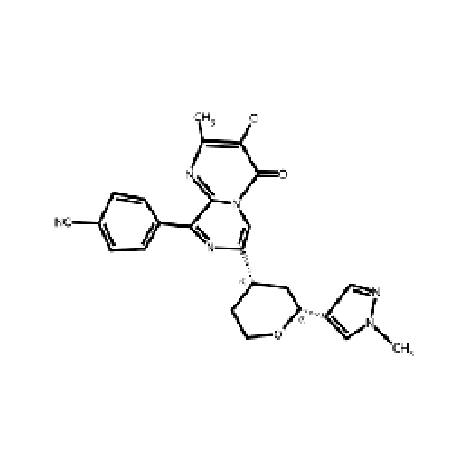 Cc1nc2c(-c3ccc(C#N)cc3)nc([C@H]3CCO[C@@H](c4cnn(C)c4)C3)cn2c(=O)c1Cl